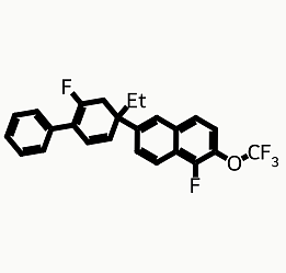 CCC1(c2ccc3c(F)c(OC(F)(F)F)ccc3c2)C=CC(c2ccccc2)=C(F)C1